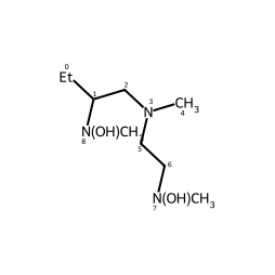 CCC(CN(C)CCN(C)O)N(C)O